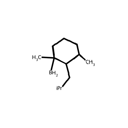 BC1(C)CCCC(C)C1CC(C)C